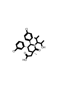 CC(C)C(C(C)O)N1C(=O)[C@@](C)(CC(=O)O)C[C@H](c2cccc(Cl)c2)[C@H]1c1ccc(Cl)cc1